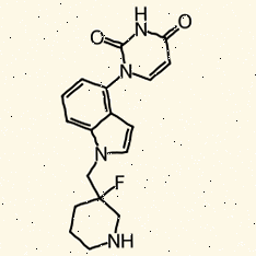 O=c1ccn(-c2cccc3c2ccn3CC2(F)CCCNC2)c(=O)[nH]1